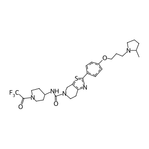 CC1CCCN1CCCOc1ccc(-c2nc3c(s2)CN(C(=O)NC2CCN(C(=O)C(F)(F)F)CC2)CC3)cc1